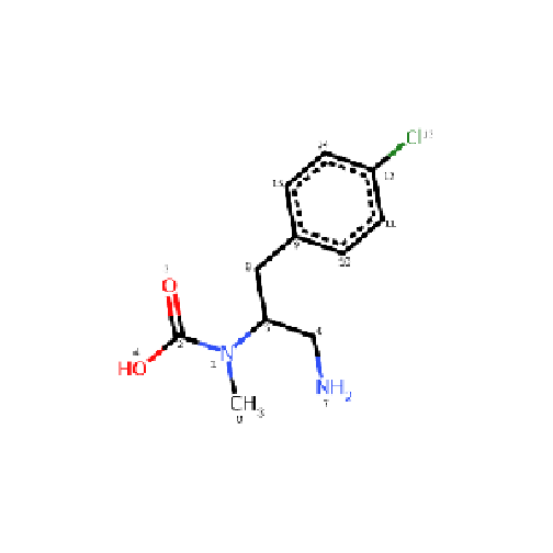 CN(C(=O)O)C(CN)Cc1ccc(Cl)cc1